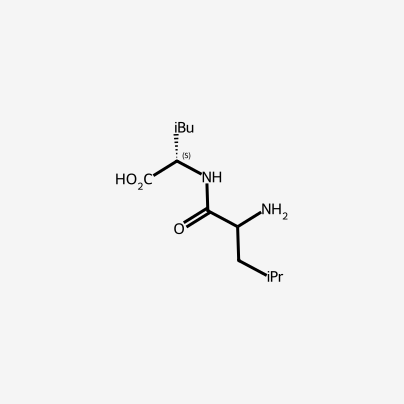 CCC(C)[C@H](NC(=O)C(N)CC(C)C)C(=O)O